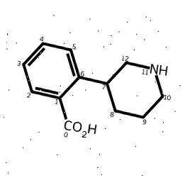 O=C(O)c1ccccc1C1CCCNC1